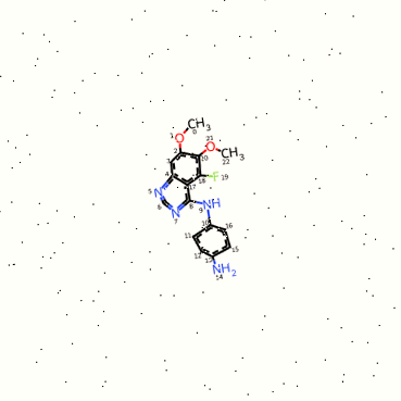 COc1cc2ncnc(Nc3ccc(N)cc3)c2c(F)c1OC